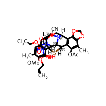 C=CCOC(=O)N[C@H]1CS[C@H]2c3c(OC(C)=O)c(C)c4c(c3[C@H](COC1=O)N1[C@@H]2[C@H]2c3c(cc(C)c(OC)c3O)C[C@@H]([C@@H]1C#N)N2C(=O)OCC(Cl)(Cl)Cl)OCO4